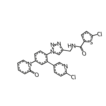 O=C(NCc1cn(-c2ccc(-n3ccccc3=O)cc2-c2ccc(Cl)nc2)nn1)c1ccc(Cl)s1